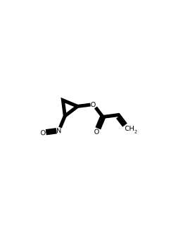 C=CC(=O)OC1CC1N=O